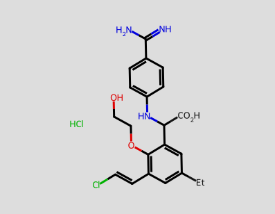 CCc1cc(C=CCl)c(OCCO)c(C(Nc2ccc(C(=N)N)cc2)C(=O)O)c1.Cl